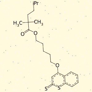 CC(C)CCC(C)(C)C(=O)OCCCCCOc1cc(=S)sc2ccccc12